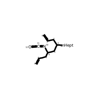 C=CCC(C[CH]CCCCC)CC(CC=C)N=C=O